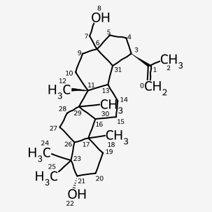 C=C(C)[C@@H]1CCC2(CO)CC[C@]3(C)C(CCC4C5(C)CC[C@H](O)C(C)(C)C5CCC43C)C12